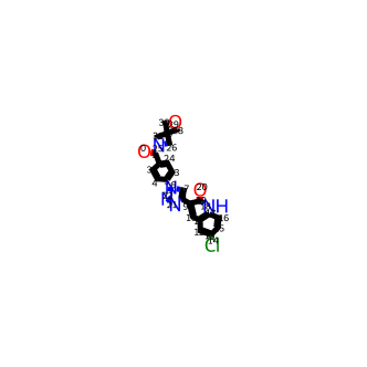 O=C(c1ccc(-n2cc(-c3cc4cc(Cl)ccc4[nH]c3=O)nn2)cc1)N1CC2(COC2)C1